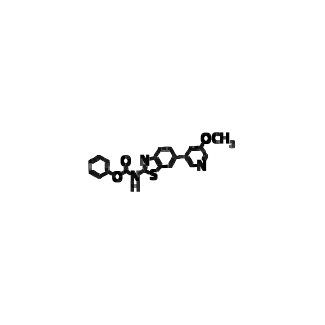 COc1cncc(-c2ccc3nc(NC(=O)Oc4ccccc4)sc3c2)c1